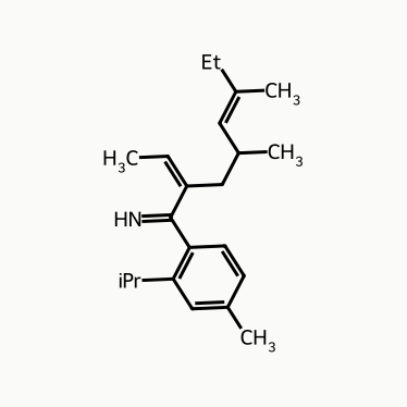 C/C=C(/CC(C)/C=C(\C)CC)C(=N)c1ccc(C)cc1C(C)C